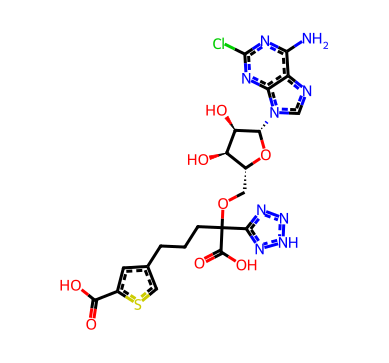 Nc1nc(Cl)nc2c1ncn2[C@@H]1O[C@H](COC(CCCc2csc(C(=O)O)c2)(C(=O)O)c2nn[nH]n2)[C@@H](O)[C@H]1O